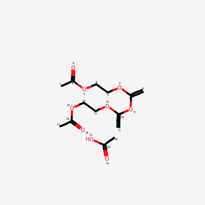 C=C(OCCOC(C)=O)OC(=C)OCCOC(C)=O.CC(=O)O